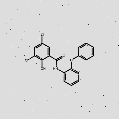 O=C(Nc1ccccc1Oc1ccccc1)c1cc(Cl)cc(Cl)c1O